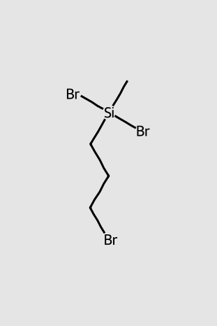 C[Si](Br)(Br)CCCBr